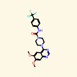 COc1cc2ncnc(N3CCN(C(=O)Nc4ccc(C(F)(F)F)cc4)CC3)c2cc1OC